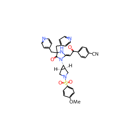 COc1ccc(S(=O)(=O)N2C[C@@H]3[C@H](C2)[C@H]3N2C(=O)C(Cc3ccncc3)(Cc3ccncc3)N/C2=C\C(=O)c2ccc(C#N)cc2)cc1